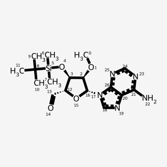 CO[C@@H]1[C@H](O[Si](C)(C)C(C)(C)C)[C@@H](C=O)O[C@H]1n1cnc2c(N)ncnc21